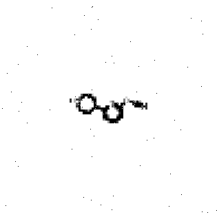 N#COc1cccc(C2CCNCC2)n1